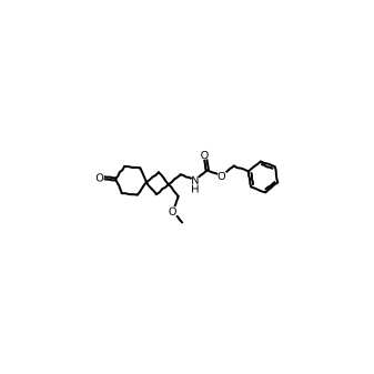 COCC1(CNC(=O)OCc2ccccc2)CC2(CCC(=O)CC2)C1